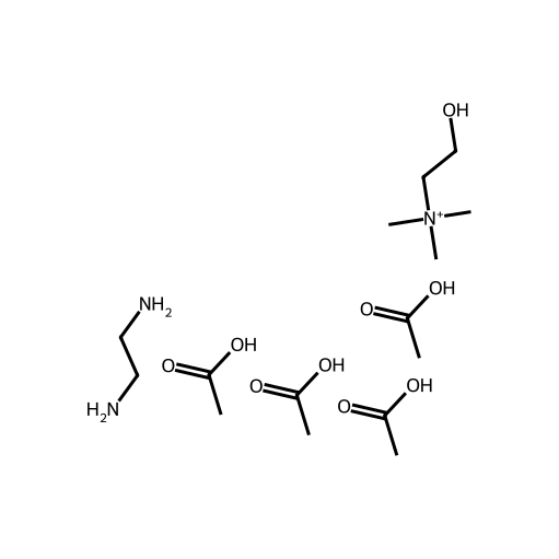 CC(=O)O.CC(=O)O.CC(=O)O.CC(=O)O.C[N+](C)(C)CCO.NCCN